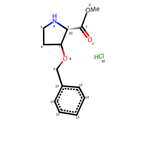 COC(=O)[C@H]1NCCC1OCc1ccccc1.Cl